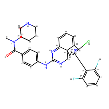 CN(C(=O)c1ccc(NC2=NCC34CC=C(c5c(F)cccc5F)N=C(Cl)C3=CC=CC4=N2)cc1)C1CN2CCC1CC2